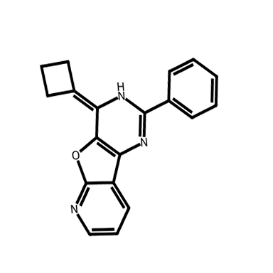 c1ccc(C2=Nc3c(oc4ncccc34)C(=C3CCC3)N2)cc1